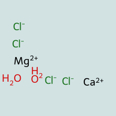 O.O.[Ca+2].[Cl-].[Cl-].[Cl-].[Cl-].[Mg+2]